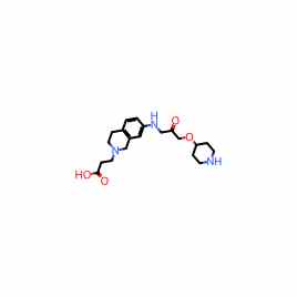 O=C(O)CCN1CCc2ccc(NCC(=O)COC3CCNCC3)cc2C1